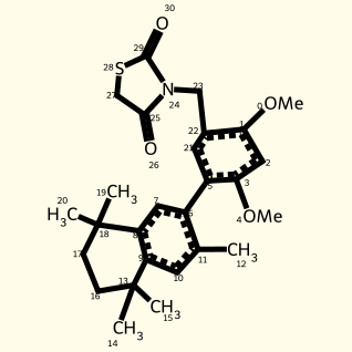 COc1cc(OC)c(-c2cc3c(cc2C)C(C)(C)CCC3(C)C)cc1CN1C(=O)CSC1=O